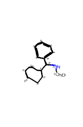 O=CNC(c1ccccc1)C1CCCCC1